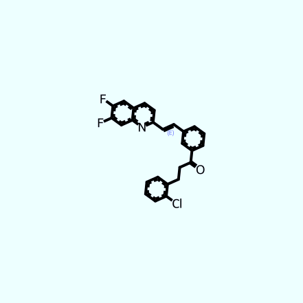 O=C(CCc1ccccc1Cl)c1cccc(/C=C/c2ccc3cc(F)c(F)cc3n2)c1